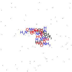 CC(C)[C@H](N)C(=O)O.CC(C)[C@H](N)C(=O)O.C[C@H](N)C(=O)O.NC(=O)C[C@H](N)C(=O)O.NCC(=O)O.O=C(O)[C@@H]1CCCN1